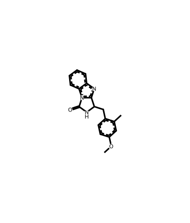 COc1ccc(CC2NC(=O)n3c2nc2ccccc23)c(C)c1